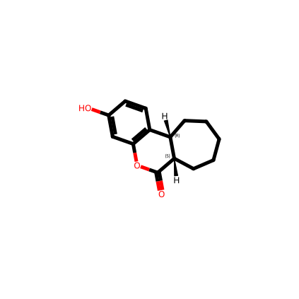 O=C1Oc2cc(O)ccc2[C@@H]2CCCCC[C@H]12